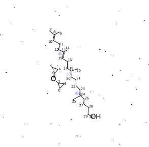 C1CC1OC1CC1.CC(C)=CCC/C(C)=C/CC/C(C)=C/CC/C=C(\C)CCCCO